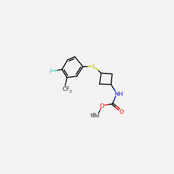 CC(C)(C)OC(=O)NC1CC(Sc2ccc(F)c(C(F)(F)F)c2)C1